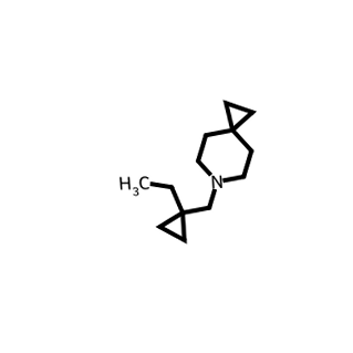 CCC1(CN2CCC3(CC2)CC3)CC1